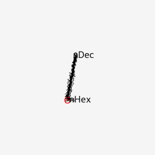 CCCCCCCCCCCCCCCCCCCCCCCCCCCCCCCCC1OC1CCCCCC